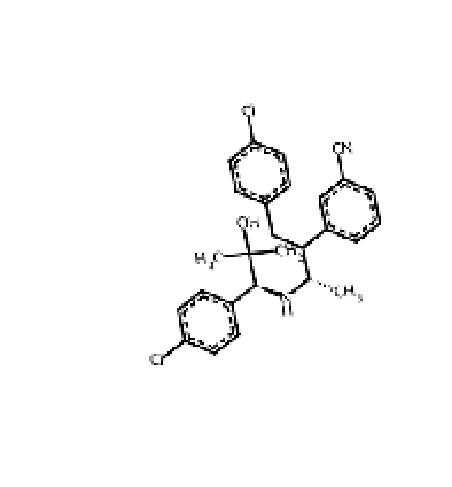 C[C@H](N[C@@H](c1ccc(Cl)cc1)C(C)(C)O)C(Cc1ccc(Cl)cc1)c1cccc(C#N)c1